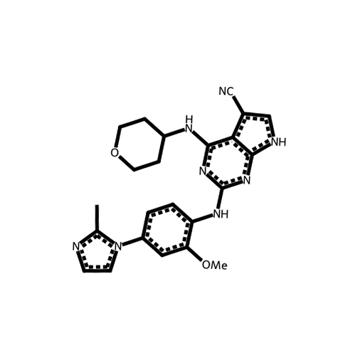 COc1cc(-n2ccnc2C)ccc1Nc1nc(NC2CCOCC2)c2c(C#N)c[nH]c2n1